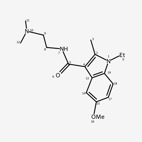 CCn1c(C)c(C(=O)NCCN(C)C)c2cc(OC)ccc21